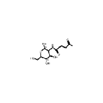 CC(=O)CCC(=O)NC1C(O)[C@H](O)C(CO)O[C@H]1O